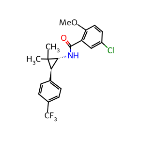 COc1ccc(Cl)cc1C(=O)N[C@@H]1[C@@H](c2ccc(C(F)(F)F)cc2)C1(C)C